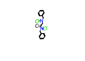 ClN(CCN(Cl)Cc1ccccc1)Cc1ccccc1.[Cu]